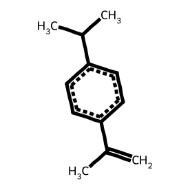 C=C(C)c1ccc(C(C)C)cc1